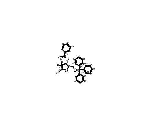 O=C(O[C@@H]1[C@@H](COC(c2ccccc2)(c2ccccc2)c2ccccc2)OC(I)C1(F)F)c1ccccc1